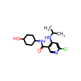 CC(C)Nc1cc(Cl)ncc1C(=O)NC1CCC(O)CC1